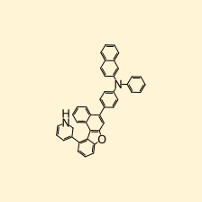 C1=CNCC(c2cccc3oc4cc(-c5ccc(N(c6ccccc6)c6ccc7ccccc7c6)cc5)c5ccccc5c4c23)=C1